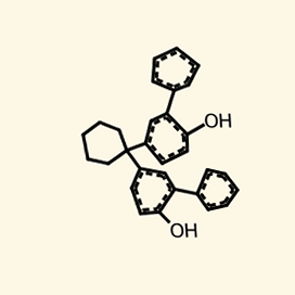 Oc1ccc(C2(c3ccc(O)c(-c4ccccc4)c3)CCCCC2)cc1-c1ccccc1